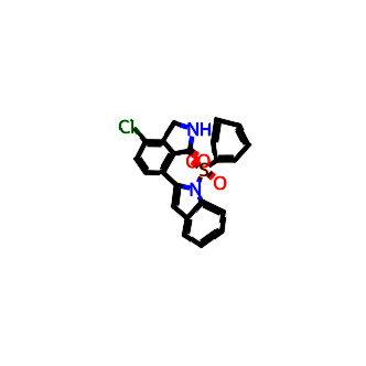 O=C1NCc2c(Cl)ccc(-c3cc4ccccc4n3S(=O)(=O)c3ccccc3)c21